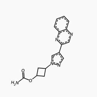 NC(=O)OC1CC(n2cc(-c3cnc4ccccc4n3)cn2)C1